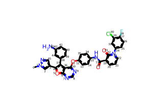 Cn1cc(-c2oc3ncnc(Oc4ccc(NC(=O)c5cccn(-c6ccc(F)c(Cl)c6)c5=O)cc4)c3c2-c2cccc(N)c2)cn1